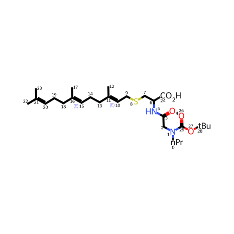 CCCN(CC(=O)NC(CSC/C=C(\C)CC/C=C(\C)CCC=C(C)C)C(=O)O)C(=O)OC(C)(C)C